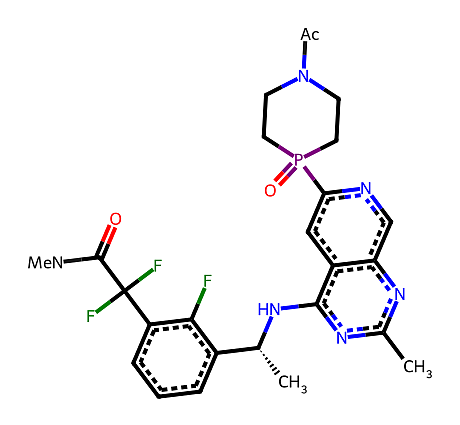 CNC(=O)C(F)(F)c1cccc([C@@H](C)Nc2nc(C)nc3cnc(P4(=O)CCN(C(C)=O)CC4)cc23)c1F